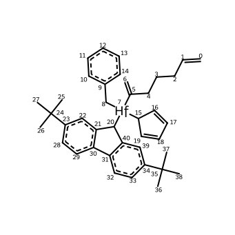 C=CCCC[C](=C)[Hf]([CH2]c1ccccc1)([CH]1C=CC=C1)[CH]1c2cc(C(C)(C)C)ccc2-c2ccc(C(C)(C)C)cc21